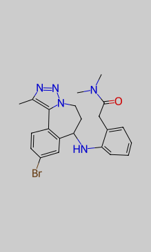 Cc1nnn2c1-c1ccc(Br)cc1C(Nc1ccccc1CC(=O)N(C)C)CC2